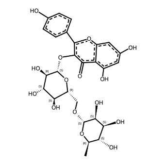 C[C@H]1O[C@H](OC[C@H]2O[C@@H](Oc3c(-c4ccc(O)cc4)oc4cc(O)cc(O)c4c3=O)[C@H](O)[C@@H](O)[C@@H]2O)[C@@H](O)[C@@H](O)[C@@H]1O